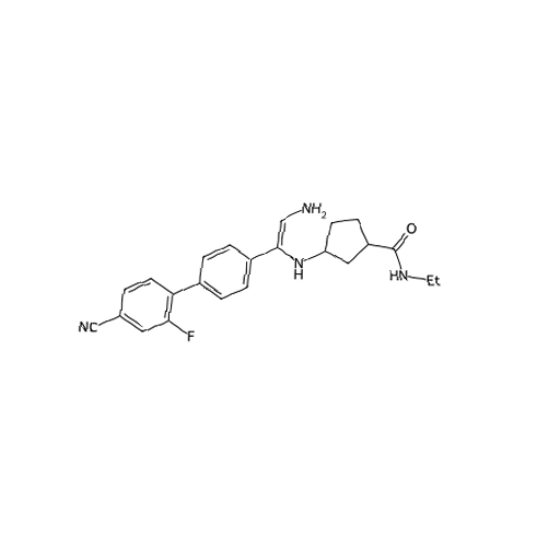 CCNC(=O)C1CCC(N/C(=C\N)c2ccc(-c3ccc(C#N)cc3F)cc2)C1